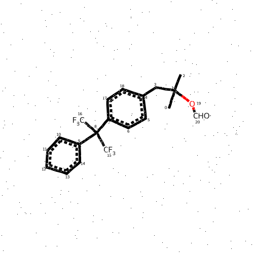 CC(C)(Cc1ccc(C(c2cc[c]cc2)(C(F)(F)F)C(F)(F)F)cc1)O[C]=O